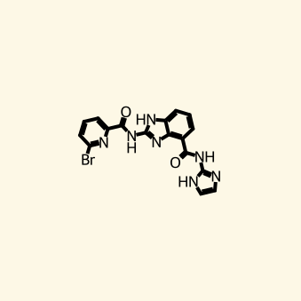 O=C(Nc1nc2c(C(=O)Nc3ncc[nH]3)cccc2[nH]1)c1cccc(Br)n1